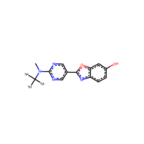 [3H]C([3H])([3H])N(C)c1ncc(-c2nc3ccc(O)cc3o2)cn1